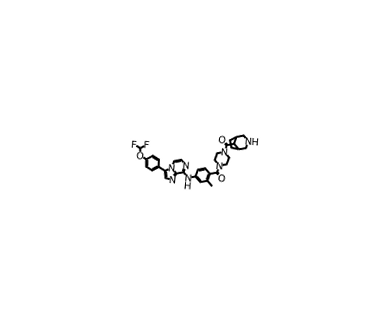 Cc1cc(Nc2nccn3c(-c4ccc(OC(F)F)cc4)cnc23)ccc1C(=O)N1CCN(C(=O)C2C3CCC2CNC3)CC1